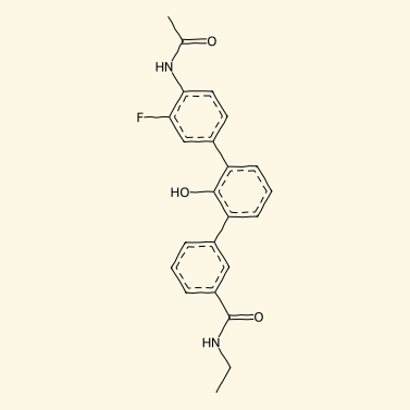 CCNC(=O)c1cccc(-c2cccc(-c3ccc(NC(C)=O)c(F)c3)c2O)c1